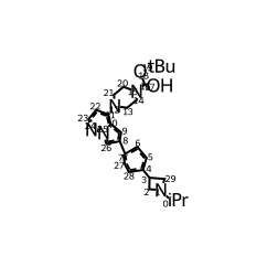 CC(C)N1CC(c2ccc(-c3cc4c(N5CCN(C(O)OC(C)(C)C)CC5)ccnn4c3)cc2)C1